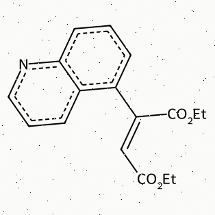 CCOC(=O)C=C(C(=O)OCC)c1cccc2ncccc12